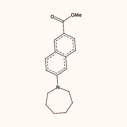 COC(=O)c1ccc2cc(N3CCCCCC3)ccc2c1